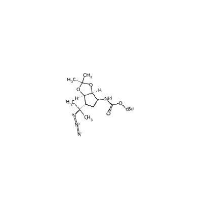 CC(C)(C)OC(=O)NC1C[C@H](C(C)(C)N=[N+]=[N-])[C@H]2OC(C)(C)O[C@@H]12